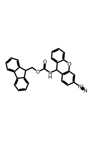 N#[N+]c1ccc2c(c1)Oc1ccccc1C2NC(=O)OCC1c2ccccc2-c2ccccc21